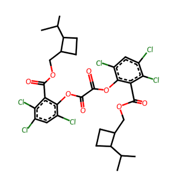 CC(C)C1CCC1COC(=O)c1c(Cl)c(Cl)cc(Cl)c1OC(=O)C(=O)Oc1c(Cl)cc(Cl)c(Cl)c1C(=O)OCC1CCC1C(C)C